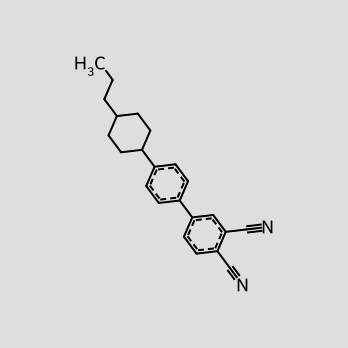 CCCC1CCC(c2ccc(-c3ccc(C#N)c(C#N)c3)cc2)CC1